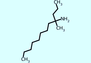 CCCCCCCCC(C)(N)CCC